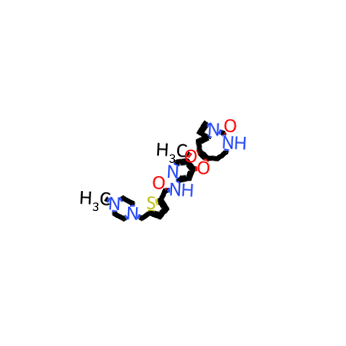 COC1=C(\Oc2ccnc(NC(=O)c3ccc(CN4CCN(C)CC4)s3)c2)CCNC(=O)N2C=C/C2=C\1